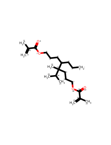 [CH2]CCC(CCCOC(=O)C(=C)C)C(C)(CCCOC(=O)C(=C)C)[C](C)C